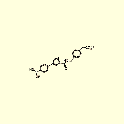 O=C(O)Cc1ccc(CNC(=O)c2cc(-c3ccc(B(O)O)cc3)cs2)cc1